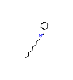 CCCCCCCC/N=C/c1ccccc1